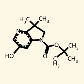 CC(C)(C)OC(=O)N1CC(C)(C)c2ncc(O)cc21